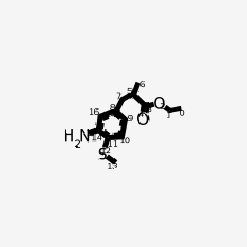 CCOC(=O)C(C)Cc1ccc(SC)c(N)c1